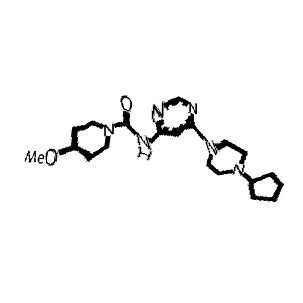 COC1CCN(C(=O)Nc2cc(N3CCN(C4CCCC4)CC3)ncn2)CC1